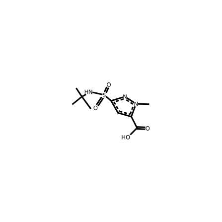 Cn1nc(S(=O)(=O)NC(C)(C)C)cc1C(=O)O